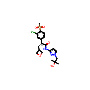 CC(C)(O)Cn1ccc(NC(=O)[C@H](CC2COC2)c2ccc(S(C)(=O)=O)c(Cl)c2)n1